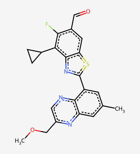 COCc1cnc2c(-c3nc4c(C5CC5)c(F)c(C=O)cc4s3)cc(C)cc2n1